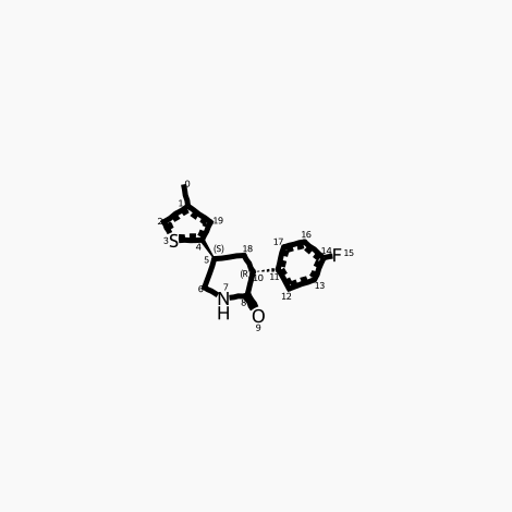 Cc1csc([C@@H]2CNC(=O)[C@@H](c3ccc(F)cc3)C2)c1